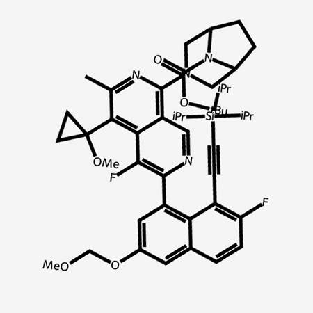 COCOc1cc(-c2ncc3c(N4CC5CCC(C4)N5C(=O)OC(C)(C)C)nc(C)c(C4(OC)CC4)c3c2F)c2c(C#C[Si](C(C)C)(C(C)C)C(C)C)c(F)ccc2c1